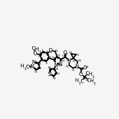 COc1cc2c(cc1-c1ccn(C)n1)-c1c(c(C(=O)N3CCN(C(=O)OC(C)(C)C)CC34CC4)nn1-c1ccsc1)CO2